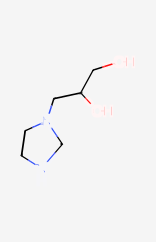 OCC(O)CN1CCNC1